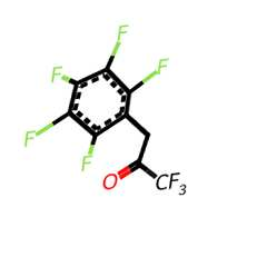 O=C(Cc1c(F)c(F)c(F)c(F)c1F)C(F)(F)F